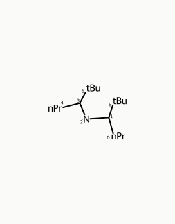 CCCC([N]C(CCC)C(C)(C)C)C(C)(C)C